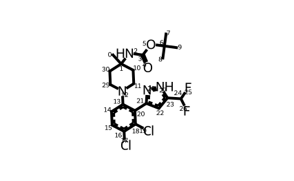 CC1(NC(=O)OC(C)(C)C)CCN(c2ccc(Cl)c(Cl)c2-c2cc(C(F)F)[nH]n2)CC1